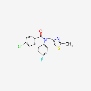 Cc1nc(CN(C(=O)c2ccc(Cl)cc2)c2ccc(F)cc2)cs1